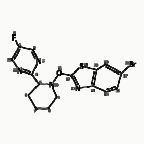 Fc1cnc(C2CCCCN2Oc2nc3ccc(Br)cc3s2)nc1